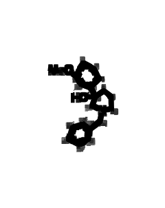 COc1cccc(C2(O)CCCN(Cc3ccccc3)C2)c1